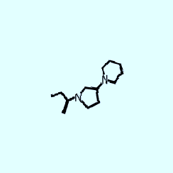 C=C(CC)N1CCC(N2CCCCC2)C1